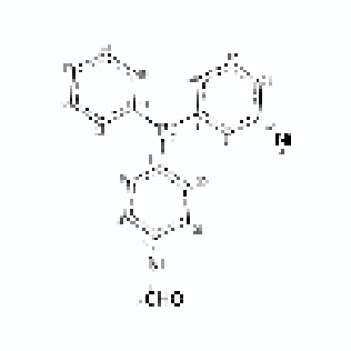 O=[CH][Ni].[Ni].c1ccc(P(c2ccccc2)c2ccccc2)cc1